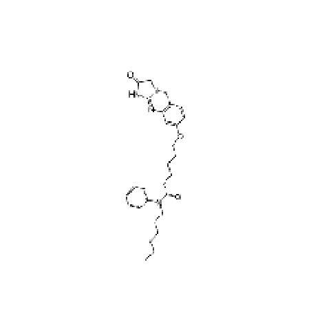 CCCCCCN(C(=O)CCCCCOc1ccc2c(c1)N=C1NC(=O)CN1C2)c1ccccc1